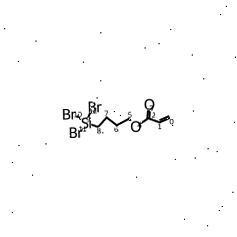 C=CC(=O)OCCCC[Si](Br)(Br)Br